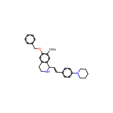 COc1cc2c(cc1OCc1ccccc1)CCNC2/C=C/c1ccc(N2CCCCC2)cc1